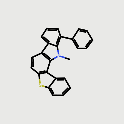 Cn1c2c(-c3ccccc3)cccc2c2ccc3sc4ccccc4c3c21